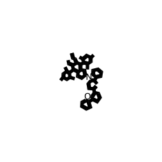 C=C/C=c1/c(-c2c(C)cc(C)cc2C)c2cc(-n3c(/C=C\C(=C)c4cccc5c4oc4ccccc45)c(C)c4ccccc43)ccc2c(C2=C(C)C=C(C)CC2C)/c1=C/C